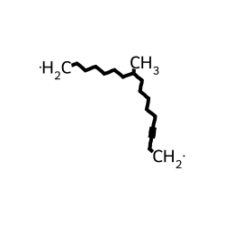 [CH2]CC#CCCCCCC(C)CCCCCC[CH2]